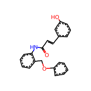 O=C(C=Cc1cccc(O)c1)Nc1ccccc1COc1ccccc1